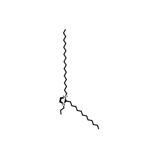 CCCCCCCCCCCCCCCCCCC[n+]1ccn(CCC)c1CCCCCCCCCCCC